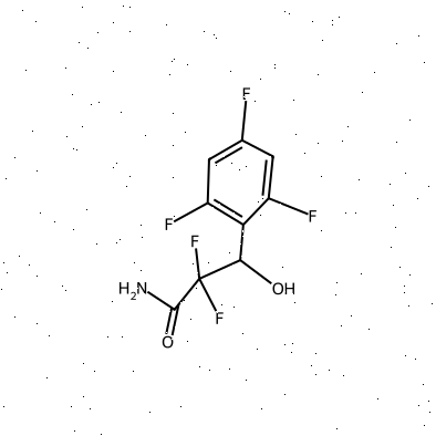 NC(=O)C(F)(F)C(O)c1c(F)cc(F)cc1F